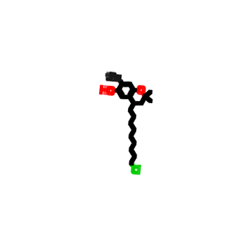 CC1(C)CC(CCCCCCCCCCl)c2cc(O)c(C(C)(C)C)cc2O1